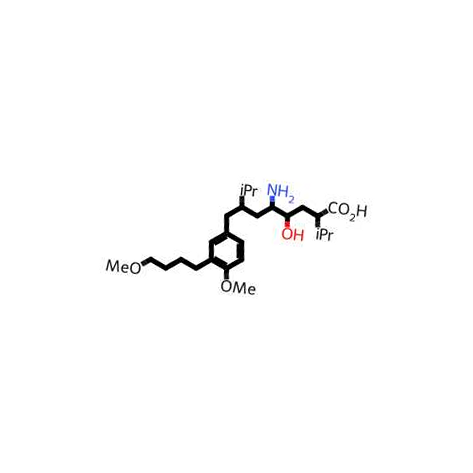 COCCCCc1cc(CC(CC(N)C(O)CC(C(=O)O)C(C)C)C(C)C)ccc1OC